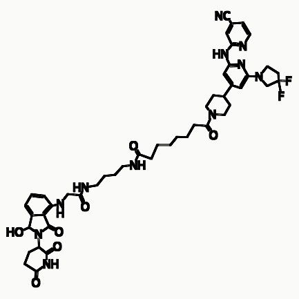 N#Cc1ccnc(Nc2cc(C3CCN(C(=O)CCCCCCC(=O)NCCCCNC(=O)CNc4cccc5c4C(=O)N(C4CCC(=O)NC4=O)C5O)CC3)cc(N3CCC(F)(F)C3)n2)c1